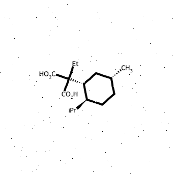 CCC(C(=O)O)(C(=O)O)[C@@H]1C[C@H](C)CC[C@H]1C(C)C